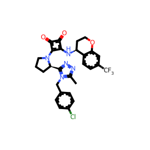 Cc1nnc([C@H]2CCCN2c2c(N[C@H]3CCOc4cc(C(F)(F)F)ccc43)c(=O)c2=O)n1Cc1ccc(Cl)cc1